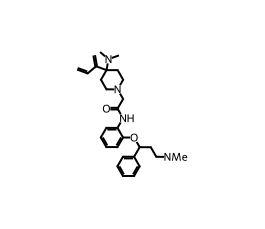 C=CC(=C)C1(N(C)C)CCN(CC(=O)Nc2ccccc2OC(CCNC)c2ccccc2)CC1